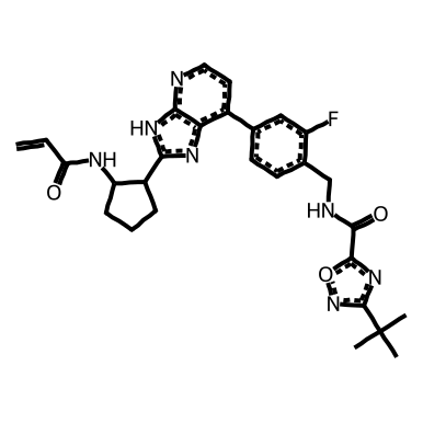 C=CC(=O)NC1CCCC1c1nc2c(-c3ccc(CNC(=O)c4nc(C(C)(C)C)no4)c(F)c3)ccnc2[nH]1